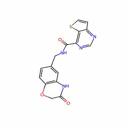 O=C1COc2ccc(CNC(=O)c3ncnc4ccsc34)cc2N1